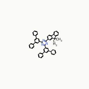 CC1(C)c2ccccc2-c2ccc(-c3nc(-c4cc(-c5ccccc5)cc(-c5ccccc5)c4)nc(-c4cc(-c5ccccc5)cc(C5C=CC=CC5)c4)n3)cc21